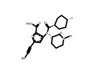 COC(=O)c1sc(C#CC(C)(C)C)cc1N(C(=O)[C@H]1CC[C@H](C)CC1)[C@H]1CCCN(C(C)C)C1=O